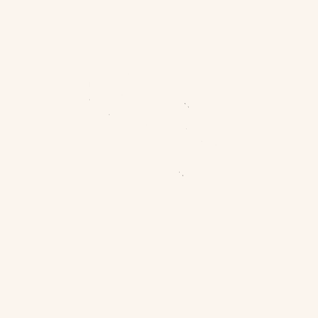 CC(=N)/C(=C\NCc1ccccc1)B1OC(C)(C)C(C)(C)O1